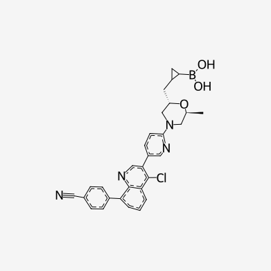 C[C@H]1CN(c2ccc(-c3cnc4c(-c5ccc(C#N)cc5)cccc4c3Cl)cn2)C[C@H](CC2CC2B(O)O)O1